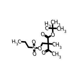 CCCS(=O)(=O)OCC(C)(C(C)=O)C(=O)OC(C)(C)C